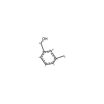 Cc1c[c]cc(CO)n1